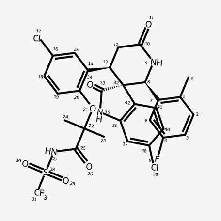 Cc1ccc(F)cc1[C@@H]1NC(=O)C[C@H](c2cc(Cl)ccc2OC(C)(C)C(=O)NS(=O)(=O)C(F)(F)F)[C@@]12C(=O)Nc1cc(Cl)ccc12